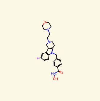 O=C(NO)c1ccc(Cn2c3c(c4cc(I)ccc42)CN(CCN2CCOCC2)CC3)cc1